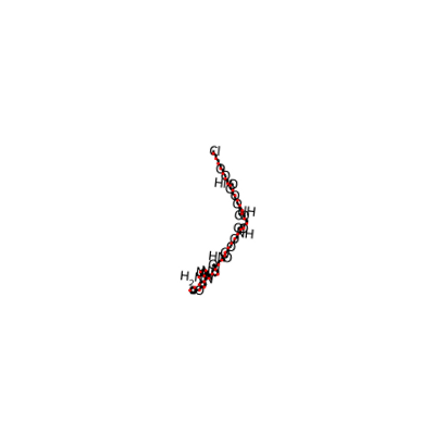 Nc1ncnc2c1c(-c1ccc(Oc3ccccc3)cc1)nn2C1CCCN(C(=O)/C=C/CNC(=O)OCCOCCOCCNC(=O)OC/C=C\COC(=O)NCCOCCOCCOC(=O)NCCOCCOCCCCCCCl)C1